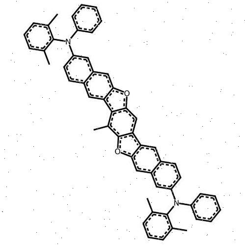 Cc1cccc(C)c1N(c1ccccc1)c1ccc2cc3c(cc2c1)oc1c(C)c2c(cc13)oc1cc3cc(N(c4ccccc4)c4c(C)cccc4C)ccc3cc12